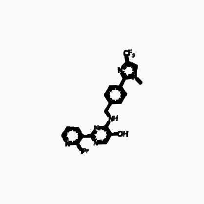 CC(C)c1ncccc1-c1ncc(O)c(NCc2ccc(-c3nc(C(F)(F)F)cn3C)cc2)n1